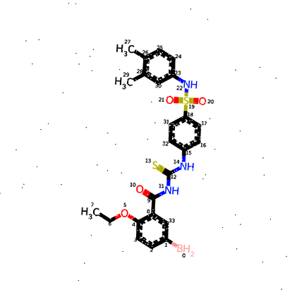 Bc1ccc(OCC)c(C(=O)NC(=S)Nc2ccc(S(=O)(=O)Nc3ccc(C)c(C)c3)cc2)c1